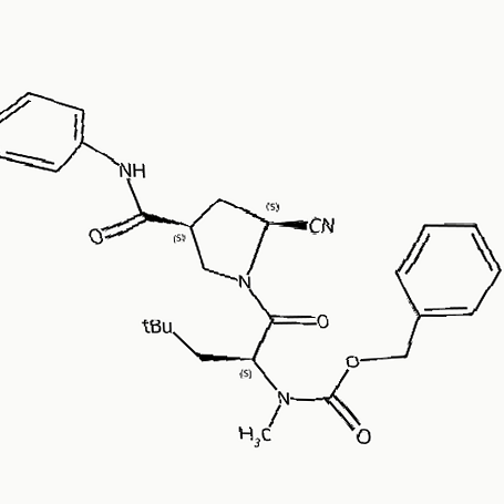 CN(C(=O)OCc1ccccc1)[C@@H](CC(C)(C)C)C(=O)N1C[C@@H](C(=O)Nc2ccccc2)C[C@H]1C#N